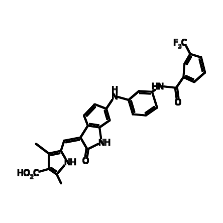 Cc1[nH]c(/C=C2\C(=O)Nc3cc(Nc4cccc(NC(=O)c5cccc(C(F)(F)F)c5)c4)ccc32)c(C)c1C(=O)O